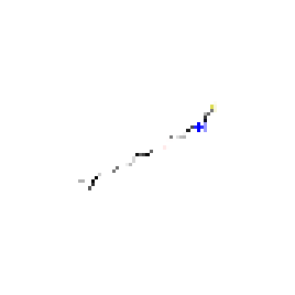 CCCCCCCCOCCCN=C=S